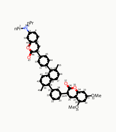 CCCN(CCC)c1ccc2cc(-c3ccc(-c4c(C)ccc5c(-c6cccc(-c7cc8c(OC)cc(OC)cc8oc7=O)c6)c(C)ccc45)cc3)c(=O)oc2c1